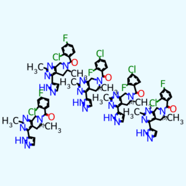 Cc1nc2c(c(-c3ccn[nH]3)n1)CC(C)N(C(=O)c1ccc(F)cc1Cl)C2.Cc1nc2c(c(-c3ccn[nH]3)n1)C[C@@H](C)N(C(=O)c1ccc(Cl)cc1F)C2.Cc1nc2c(c(-c3ccn[nH]3)n1)C[C@@H](C)N(C(=O)c1ccc(F)cc1Cl)C2.Cc1nc2c(c(-c3ccn[nH]3)n1)C[C@H](C)N(C(=O)c1ccc(Cl)cc1F)C2.Cc1nc2c(c(-c3ccn[nH]3)n1)C[C@H](C)N(C(=O)c1ccc(F)cc1Cl)C2